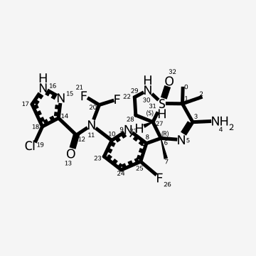 CC1(C)C(N)=N[C@](C)(c2nc(N(C(=O)c3n[nH]cc3Cl)C(F)F)ccc2F)[C@@H]2CCN[SH]21=O